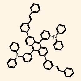 C(=C\c1cccc(-c2ccc3c(-c4cccc(N(c5ccccc5)c5ccccc5)c4)c4cc(-c5cccc(/C=C/c6ccccc6)c5)ccc4c(-c4cccc(N(c5ccccc5)c5ccccc5)c4)c3c2)c1)/c1ccccc1